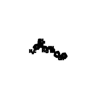 Cc1ccc2c(c1)c(NCC(=O)NC1CN([C@H]3CC[C@@](O)(c4ccccc4)CC3)C1)nn2C